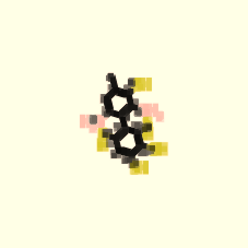 Bc1cc(C)c(S)c(B)c1-c1c(S)cc(S)c(S)c1S